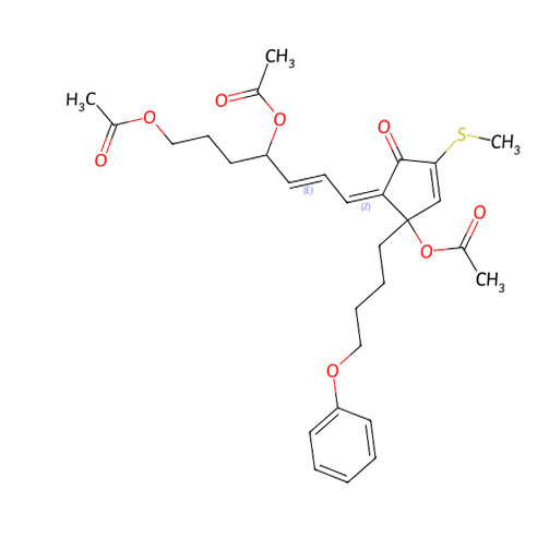 CSC1=CC(CCCCOc2ccccc2)(OC(C)=O)/C(=C/C=C/C(CCCOC(C)=O)OC(C)=O)C1=O